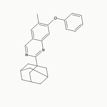 Cc1cc2cnc(C34CC5CC(CC(C5)C3)C4)nc2cc1Oc1ccccc1